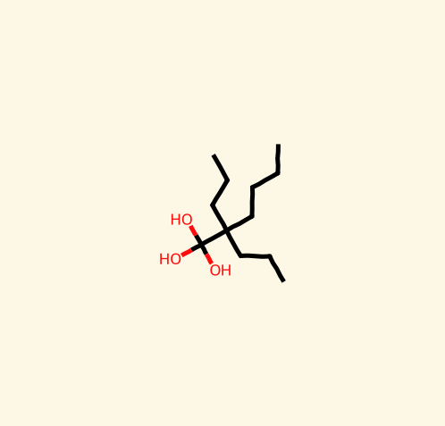 CCCCC(CCC)(CCC)C(O)(O)O